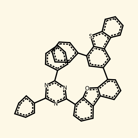 c1ccc(-c2nc(-c3ccccc3)nc(-c3cccc4c3oc3c(-c5cc(-c6ccccc6)c6sc7ccccc7c6c5)cccc34)n2)cc1